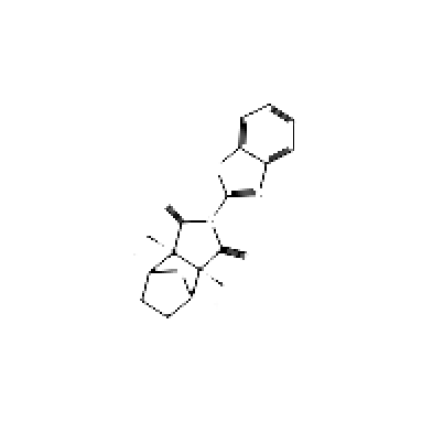 C[C@@]12C(=O)N(c3nc4ccccc4s3)C(=O)[C@]1(C)[C@H]1CC[C@@H]2O1